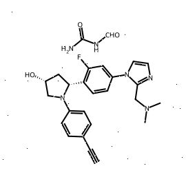 C#Cc1ccc(N2C[C@H](O)C[C@@H]2c2ccc(-n3ccnc3CN(C)C)cc2F)cc1.NC(=O)NC=O